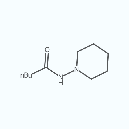 CCCCC(=O)NN1CCCCC1